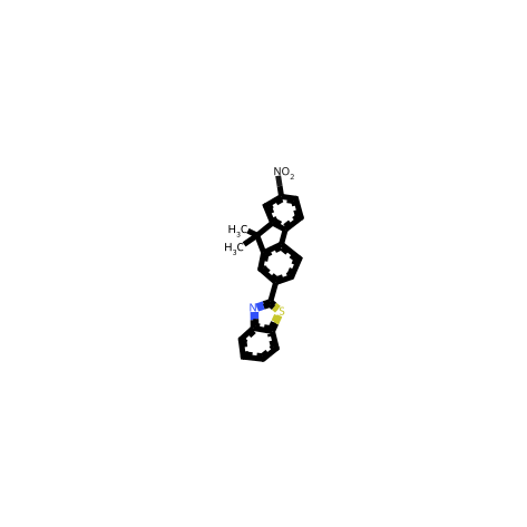 CC1(C)c2cc(-c3nc4ccccc4s3)ccc2-c2ccc([N+](=O)[O-])cc21